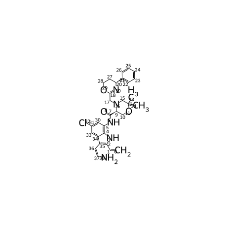 C=Cc1[nH]c2c(NC(=O)[C@@H]3COC(C)(C)CN3CC3=N[C@H](c4ccccc4)CCO3)cc(Cl)cc2c1/C=C\N